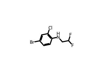 FC(F)CNc1ccc(Br)cc1Cl